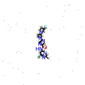 Cc1cn2cc(NC(=O)c3cnc(N4CC[C@H](N5CC[C@@H](F)C5)C4)cn3)cc(F)c2n1